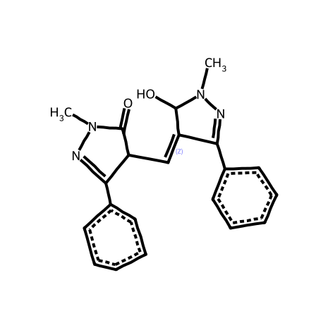 CN1N=C(c2ccccc2)C(/C=C2/C(c3ccccc3)=NN(C)C2O)C1=O